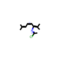 CC(C)=C/C=C\C(/N=C(\C)Cl)=C(C)C